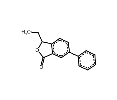 [CH2]CC1OC(=O)c2cc(-c3ccccc3)ccc21